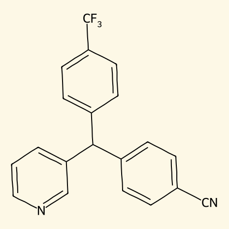 N#Cc1ccc(C(c2ccc(C(F)(F)F)cc2)c2cccnc2)cc1